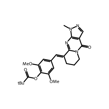 COc1cc(/C=C2\CCCn3c2nc2c(cnn2C)c3=O)cc(OC)c1OC(=O)C(C)(C)C